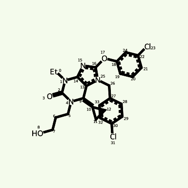 CCN1C(=O)N(CCCO)C(=C2CC2)c2c1nc(Oc1cccc(Cl)c1)n2Cc1ccc(Cl)cc1